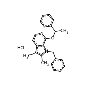 Cc1c(C)n(Cc2ccccc2)c2c(OC(C)c3ccccc3)nccc12.Cl